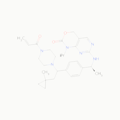 C=CC(=O)N1CCN(C(CC2(C)CC2)c2ccc([C@H](C)Nc3ncc4c(n3)N(C(C)C)C(=O)OC4)cc2)CC1